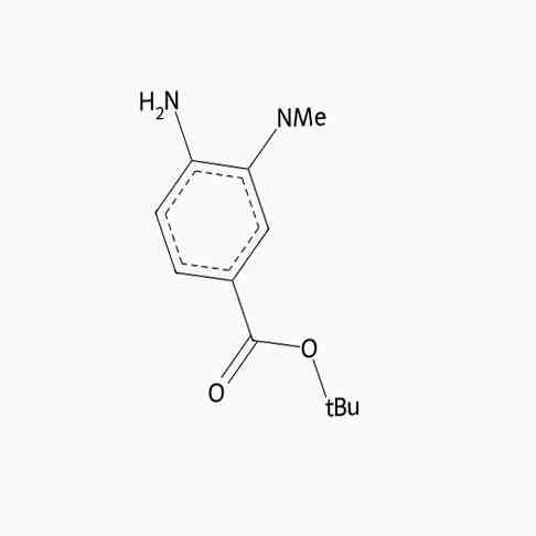 CNc1cc(C(=O)OC(C)(C)C)ccc1N